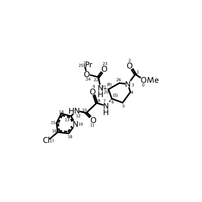 COC(=O)N1CC[C@H](NC(=O)C(=O)Nc2ccc(Cl)cn2)[C@H](NC(=O)OC(C)C)C1